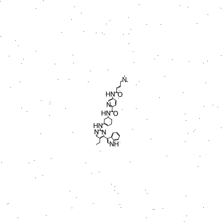 CCc1cnc(NC2=CCC[C@H](NC(=O)c3ccc(NC(=O)/C=C/CN(C)C)cn3)C2)nc1-c1c[nH]c2ccccc12